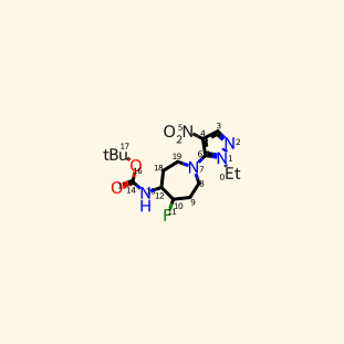 CCn1ncc([N+](=O)[O-])c1N1CCC(F)C(NC(=O)OC(C)(C)C)CC1